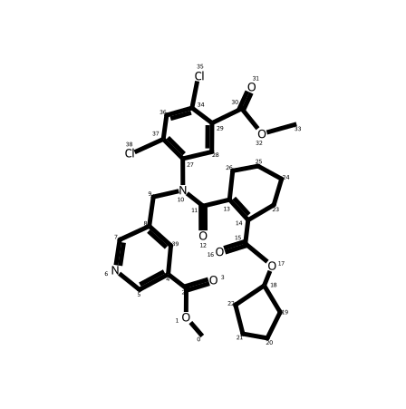 COC(=O)c1cncc(CN(C(=O)C2=C(C(=O)OC3CCCC3)CCCC2)c2cc(C(=O)OC)c(Cl)cc2Cl)c1